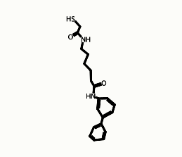 O=C(CS)NCCCCCC(=O)Nc1cccc(-c2ccccc2)c1